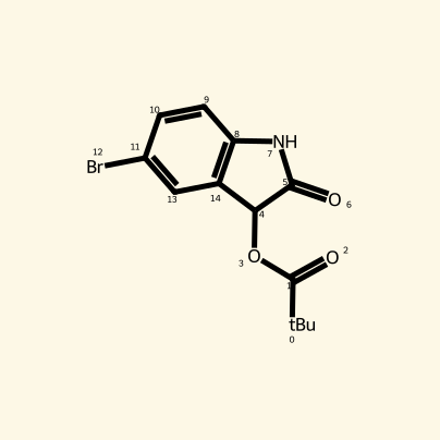 CC(C)(C)C(=O)OC1C(=O)Nc2ccc(Br)cc21